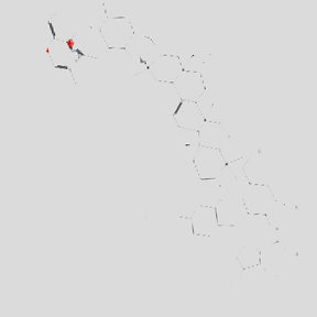 C/C=C(/C)C(=O)O[C@@H]1C(O)[C@H](C[C@H]2[C@H](O)[C@@]3(COC(C)=O)C(CC2(C)C)C2=CCC4[C@@]5(C)CC[C@H](O[C@@H]6OC(C(=O)O)[C@@H](O)[C@@H](O[C@@H]7O[C@@H](CO)[C@@H](O)C7O)C6O[C@@H]6OC(CO)[C@H](O)[C@@H](O)C6O)C(C)(C)C5CC[C@@]4(C)[C@]2(C)C[C@H]3O)OC(C)[C@@H]1OC(=O)/C(C)=C\C